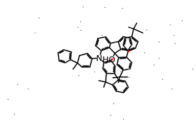 CC(C)(C)c1ccc(-c2ccc(C(C)(C)C)cc2C2(O)c3ccccc3-c3cccc(N(C4=CCC(C)(c5ccccc5)C=C4)c4ccc5c(c4)C(C)(C)c4ccccc4-5)c32)cc1